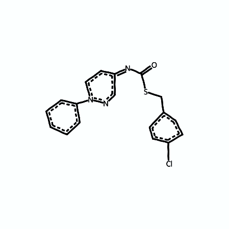 O=C(N=c1ccn(-c2ccccc2)nc1)SCc1ccc(Cl)cc1